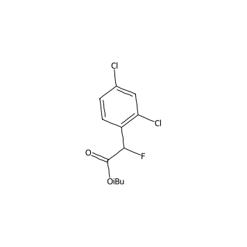 CC(C)COC(=O)C(F)c1ccc(Cl)cc1Cl